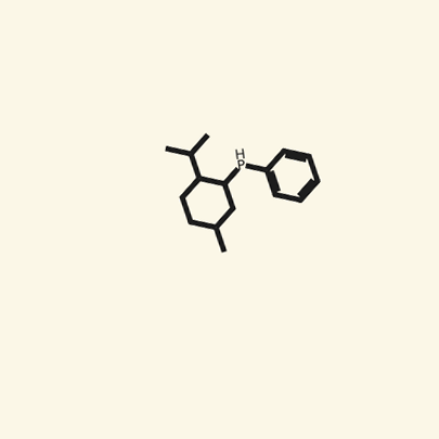 CC1CCC(C(C)C)C(Pc2ccccc2)C1